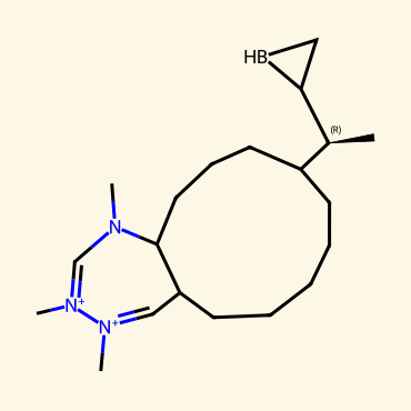 C[C@H](C1BC1)C1CCCCCC2C=[N+](C)[N+](C)=CN(C)C2CCC1